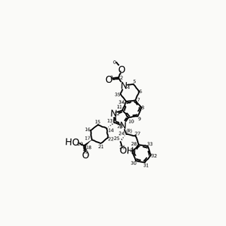 COC(=O)N1CCc2ccc3c(nc([C@H]4CC[C@H](C(=O)O)CC4)n3[C@@H](CO)Cc3ccccc3)c2C1